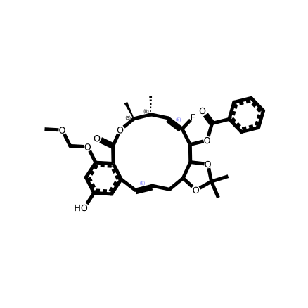 COCOc1cc(O)cc2c1C(=O)O[C@@H](C)[C@H](C)/C=C(/F)C(OC(=O)c1ccccc1)C1OC(C)(C)OC1C/C=C/2